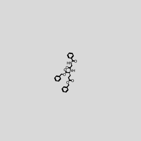 O=C(CNC(=O)c1ccccc1)N[C@@H](CCC(=O)OCc1ccccc1)C(=O)OCc1ccccc1